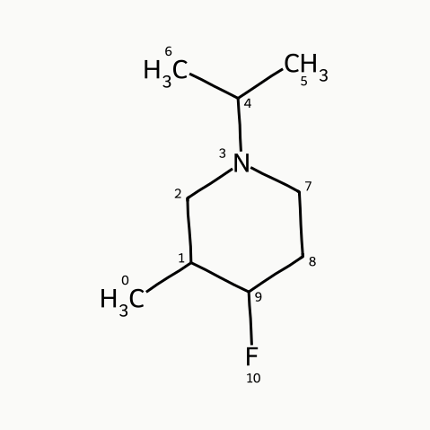 CC1CN(C(C)C)CCC1F